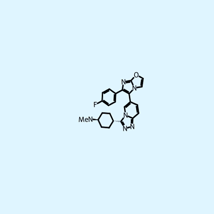 CN[C@H]1CC[C@H](c2nnc3ccc(-c4c(-c5ccc(F)cc5)nc5occn45)cn32)CC1